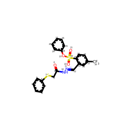 O=C(CSc1ccccc1)N/N=C/c1cc(C(F)(F)F)ccc1S(=O)(=O)Oc1ccccc1